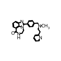 CN(CCc1ccccn1)Cc1ccc(-c2nc3cccc4c3n2CCNC4=O)cc1